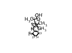 Cc1c(C(C)C(=O)O)s/c(=N/c2ccccc2F)n1C